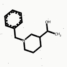 CC(O)C1CCCN(Cc2ccccc2)C1